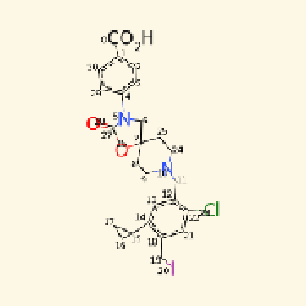 O=C(O)c1ccc(N2CC3(CCN(Cc4cc(C5CC5)c(CI)cc4Cl)CC3)OC2=O)cc1